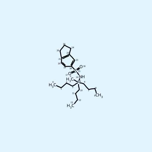 CCCCP(C)(CCCC)(CCCC)NS(=O)(=O)c1ccc2c(c1)CCC2